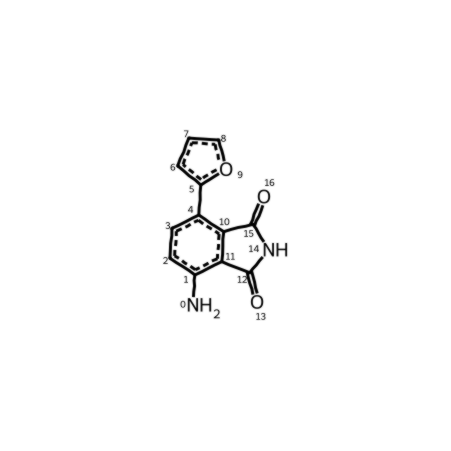 Nc1ccc(-c2ccco2)c2c1C(=O)NC2=O